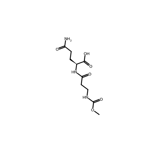 COC(=O)NCCC(=O)N[C@@H](CCC(N)=O)C(=O)O